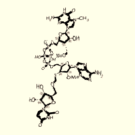 COC[C@H]1[C@@H](O)[C@H](n2c[n+](C)c3c(=O)[nH]c(N)nc32)O[C@@H]1COP(=O)([O-])OP(=O)(O)OP(=O)(O)OC[C@H]1O[C@@H](n2cnc3c(N)ncnc32)[C@H](OC)[C@@H]1SCOC[C@H]1O[C@@H](n2ccc(=O)[nH]c2=O)[C@H](O)[C@@H]1O